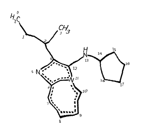 CCC(C)c1nc2ccccn2c1NC1CCCC1